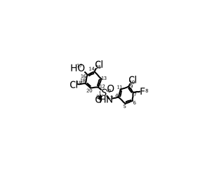 O=S(=O)(Nc1ccc(F)c(Cl)c1)c1cc(Cl)c(O)c(Cl)c1